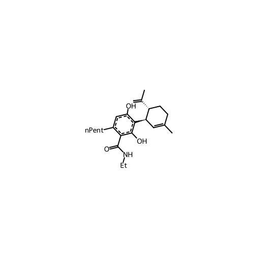 C=C(C)[C@@H]1CCC(C)=C[C@H]1c1c(O)cc(CCCCC)c(C(=O)NCC)c1O